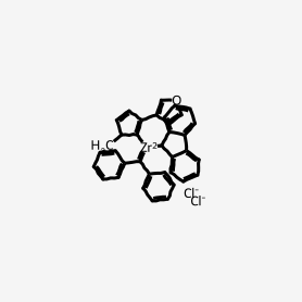 CC1C=CC(c2ccoc2)=[C]1[Zr+2](=[C](c1ccccc1)c1ccccc1)[CH]1c2ccccc2-c2ccccc21.[Cl-].[Cl-]